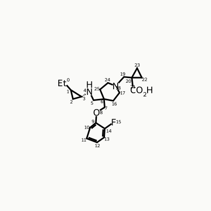 CCC1C[C@H]1NCC1(COc2ccccc2F)CCN(CC2(C(=O)O)CC2)CC1